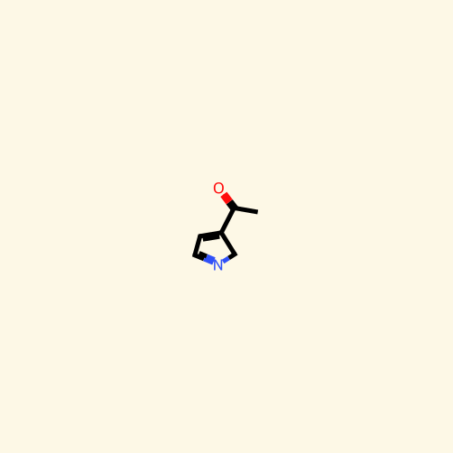 CC(=O)C1=CC=NC1